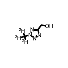 [2H]C([2H])([2H])n1nnc(CO)n1